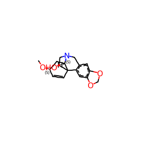 CO[C@@H]1C=CC23c4cc5c(cc4CN(CC2O)[C@H]3C1)OCO5